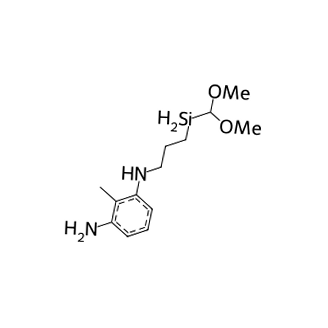 COC(OC)[SiH2]CCCNc1cccc(N)c1C